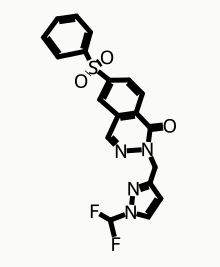 O=c1c2ccc(S(=O)(=O)c3ccccc3)cc2cnn1Cc1ccn(C(F)F)n1